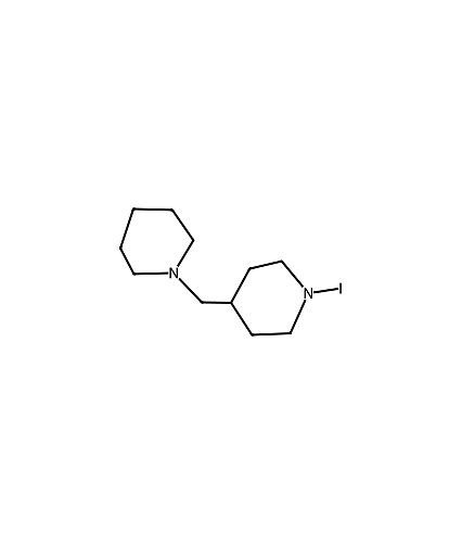 IN1CCC(CN2CCCCC2)CC1